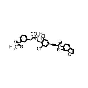 CS(=O)(=O)c1cccc(C[C@H](NCc2c(Cl)cc(C#CP(=O)(O)c3ccc4ccoc4c3)cc2Cl)C(=O)O)c1